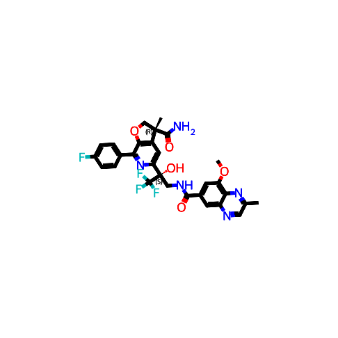 COc1cc(C(=O)NC[C@](O)(c2cc3c(c(-c4ccc(F)cc4)n2)OC[C@]3(C)C(N)=O)C(F)(F)F)cc2ncc(C)nc12